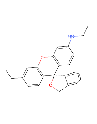 CCNc1ccc2c(c1)Oc1cc(CC)ccc1C21OCc2ccccc21